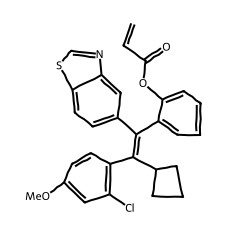 C=CC(=O)Oc1ccccc1/C(=C(/c1ccc(OC)cc1Cl)C1CCC1)c1ccc2scnc2c1